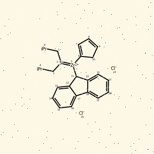 CC(C)C[Si](CC(C)C)=[Zr+2]([C]1=CC=CC1)[CH]1c2ccccc2-c2ccccc21.[Cl-].[Cl-]